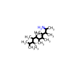 CC(C)C(C)C(C)C(C)C(C)C(C)C(C)C(C)C(C)N